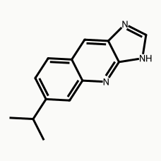 CC(C)c1ccc2cc3nc[nH]c3nc2c1